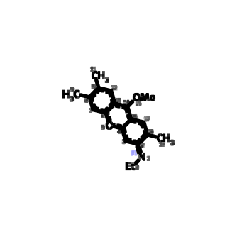 CC/N=c1\cc2oc3cc(C)c(C)cc3c(OC)c-2cc1C